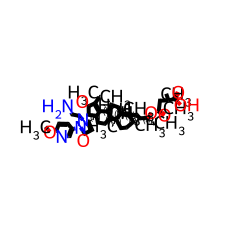 CC[C@H](CC[C@@]1(C)[C@H](C)CC[C@]2(C)[C@@H]1CC[C@@H]1C3=C(C(C)C)C(=O)C[C@]3(c3cc(=O)n(-c4ccc(OC)nc4)n3CCN)CC[C@]12C)OC(=O)CC(C)(C)C(=O)O